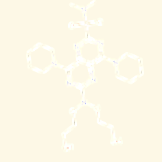 CN(C)S(=O)(=O)c1nc(N2CCCCC2)c2nc(N(OCCO)OCCO)nc(N3CCCCC3)c2n1